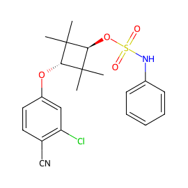 CC1(C)[C@H](Oc2ccc(C#N)c(Cl)c2)C(C)(C)[C@H]1OS(=O)(=O)Nc1ccccc1